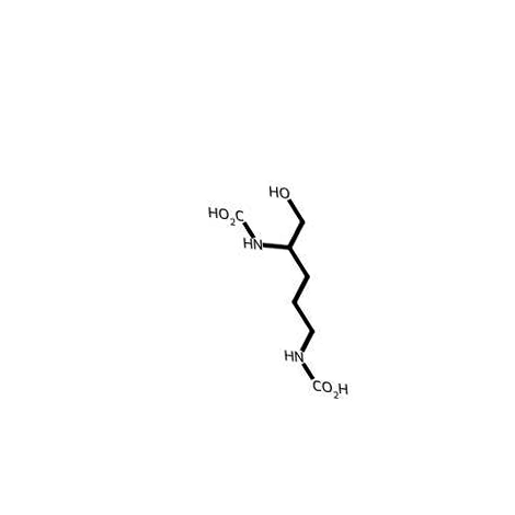 O=C(O)NCCCC(CO)NC(=O)O